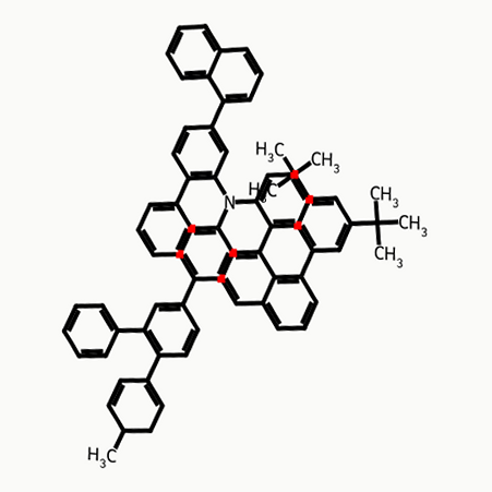 CC1C=CC(c2ccc(-c3ccc(N(c4cc(-c5cccc6ccccc56)ccc4-c4ccccc4)c4ccccc4-c4cccc5cccc(-c6cc(C(C)(C)C)cc(C(C)(C)C)c6)c45)cc3)cc2-c2ccccc2)=CC1